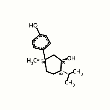 CC(C)[C@@H]1CC[C@@](C)(c2ccc(O)cc2)C[C@H]1O